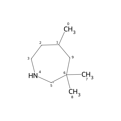 CC1CCN[CH]C(C)(C)C1